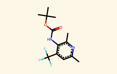 Cc1cc(C(F)(F)F)c(NC(=O)OC(C)(C)C)c(C)n1